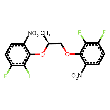 C[C@@H](COc1c([N+](=O)[O-])ccc(F)c1F)Oc1c([N+](=O)[O-])ccc(F)c1F